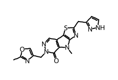 Cc1nc(Cn2ncc3c4sc(Cc5cc[nH]n5)nc4n(C)c3c2=O)co1